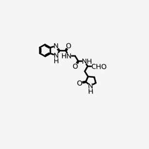 O=CC(CC1CCNC1=O)NC(=O)CNC(=O)c1nc2ccccc2[nH]1